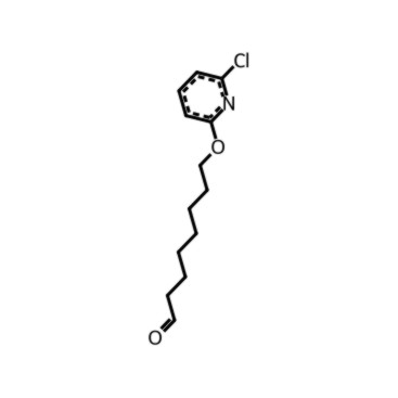 O=CCCCCCCCOc1cccc(Cl)n1